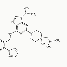 CC(C)n1cnc2c(NCc3ccccc3-n3cccn3)nc(N3CCC(O)(CN(C)C)CC3)nc21